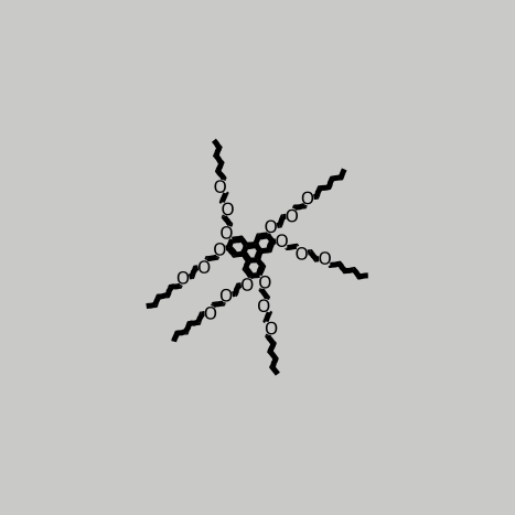 CCCCCCOCCOCCOc1cc2c3cc(OCCOCCOCCCCCC)c(OCCOCCOCCCCCC)cc3c3cc(OCCOCCOCCCCCC)c(OCCOCCOCCCCCC)cc3c2cc1OCCOCCOCCCCCC